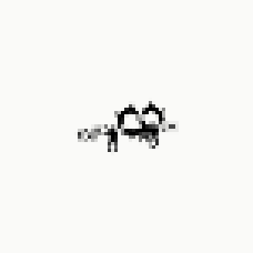 CC(C)(C)OC(=O)N1CCN2CCNC(=O)[C@H]2C1